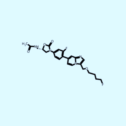 CC(=O)NC[C@H]1CN(c2ccc(-c3ccn4c(COCCCCF)cnc4c3)c(F)c2)C(=O)O1